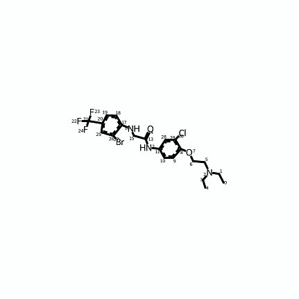 CCN(CC)CCOc1ccc(NC(=O)CNc2ccc(C(F)(F)F)cc2Br)cc1Cl